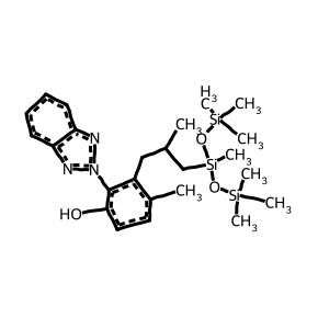 Cc1ccc(O)c(-n2nc3ccccc3n2)c1CC(C)C[Si](C)(O[Si](C)(C)C)O[Si](C)(C)C